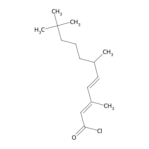 CC(/C=C/C(C)CCCC(C)(C)C)=C\C(=O)Cl